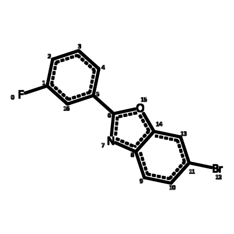 Fc1cccc(-c2nc3ccc(Br)cc3o2)c1